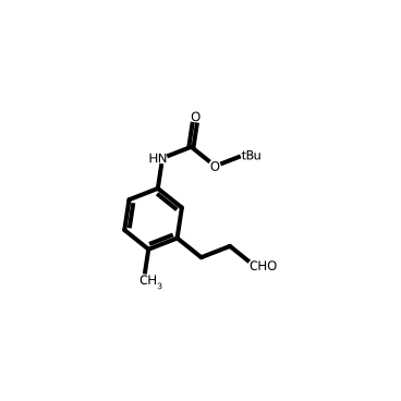 Cc1ccc(NC(=O)OC(C)(C)C)cc1CCC=O